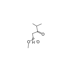 CO[PH](=O)CC(=O)C(C)C